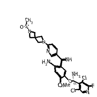 COc1cc(N)c(C(=N)c2ccc(N3CC4(C3)CN([S+](C)[O-])C4)nc2)cc1O[C@H](N)c1c(Cl)cnc(F)c1Cl